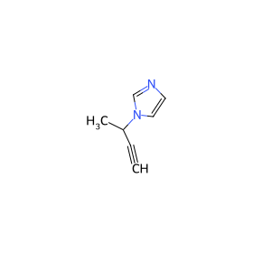 C#CC(C)n1ccnc1